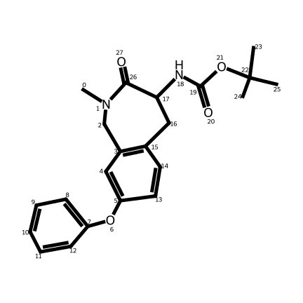 CN1Cc2cc(Oc3ccccc3)ccc2CC(NC(=O)OC(C)(C)C)C1=O